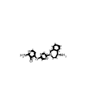 Nc1nccc(Sc2cnc(N3CC[C@H](N)c4ccccc4C3)cn2)c1Cl